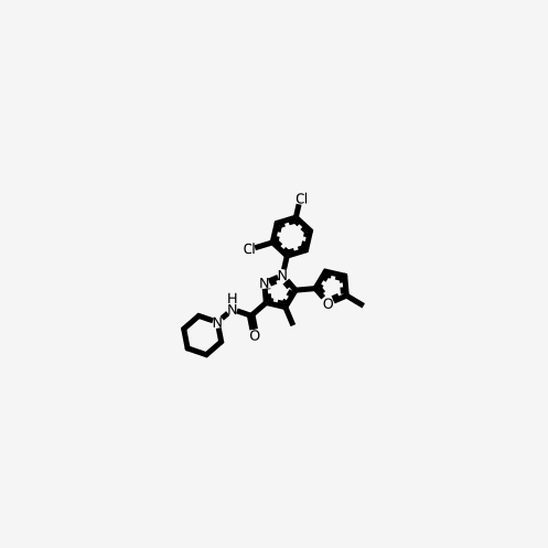 Cc1ccc(-c2c(C)c(C(=O)NN3CCCCC3)nn2-c2ccc(Cl)cc2Cl)o1